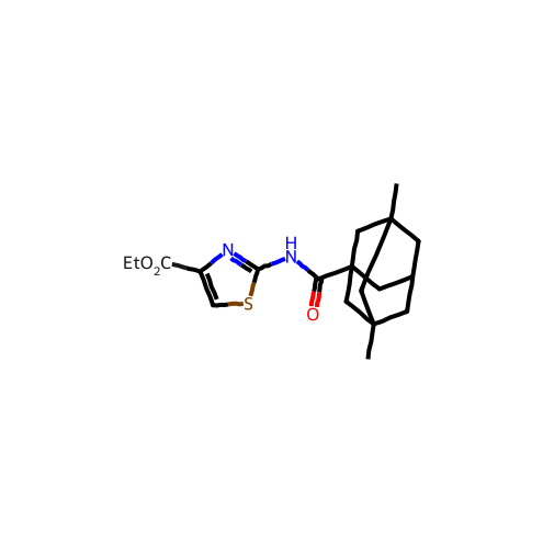 CCOC(=O)c1csc(NC(=O)C23CC4CC(C)(CC(C)(C4)C2)C3)n1